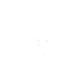 Fc1cccc(F)c1-c1nc(C(F)(F)F)n(-c2ccccc2C(F)(F)F)n1